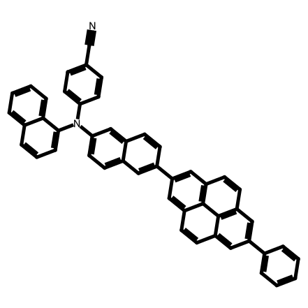 N#Cc1ccc(N(c2ccc3cc(-c4cc5ccc6cc(-c7ccccc7)cc7ccc(c4)c5c67)ccc3c2)c2cccc3ccccc23)cc1